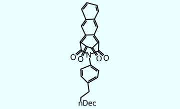 CCCCCCCCCCCCc1ccc(-n2c(=O)c3c4cc5ccccc5cc4c(c2=O)C(=O)C3=O)cc1